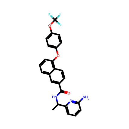 CC(NC(=O)c1ccc2c(Oc3ccc(OC(F)(F)F)cc3)cccc2c1)c1cccc(N)n1